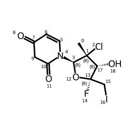 C[C@]1(Cl)[C@H](N2C=CC(=O)CC2=O)O[C@](F)(CI)[C@H]1O